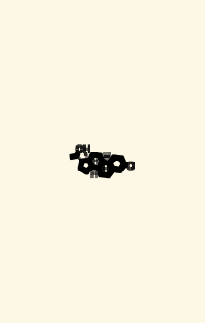 CC(O)[C@H]1CC[C@@H]2[C@@H]3CCC4=CC(=O)CC[C@@H]4[C@H]3CC[C@]12C